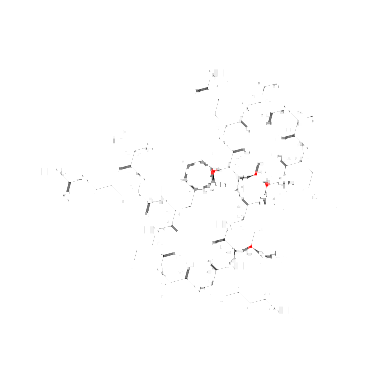 CC(C)C[C@H](NC(=O)[C@H](Cc1ccccc1)NC(=O)[C@H](CCCNC(=N)N)NC(=O)[C@@H](N)C(C)C)C(=O)N[C@@H](C)C(=O)N[C@@H](CCCCN)C(=O)N[C@@H](CCC(=O)O)C(=O)N[C@@H](CC(N)=O)C(=O)N[C@H](C(=O)N[C@H](C(=O)N[C@@H](CCC(N)=O)C(=O)N[C@@H](CC(=O)O)C(=O)N[C@@H](C)C(=O)N[C@@H](CCC(=O)O)C(=O)N[C@@H](CC(=O)O)C(=O)O)[C@@H](C)O)C(C)C